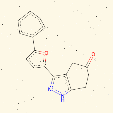 O=C1CCc2[nH]nc(-c3ccc(-c4ccccc4)o3)c2C1